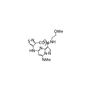 CNc1cc(Nc2csnc2C(=O)O)nc2c(C(=O)NCCOC)cnn12